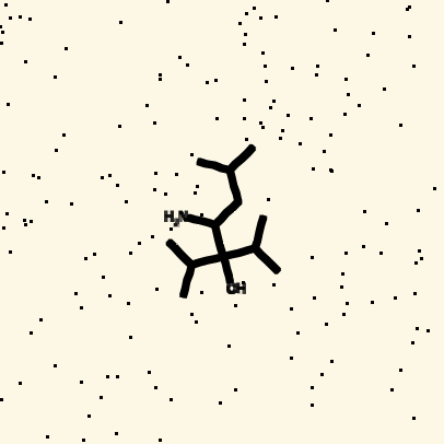 CC(C)CC(N)C(O)(C(C)C)C(C)C